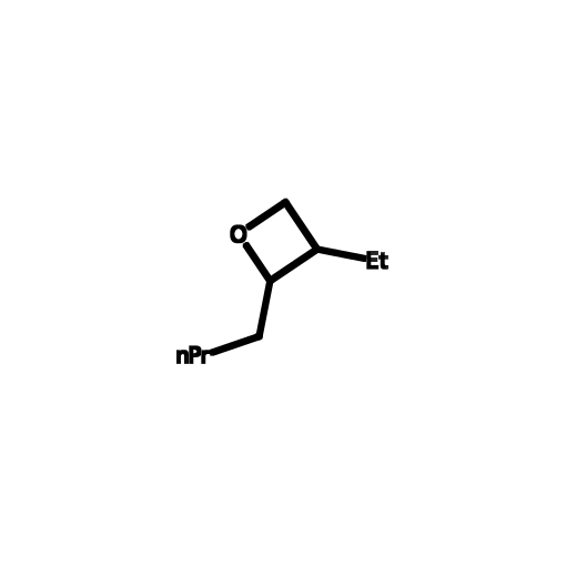 [CH2]CCCC1OCC1CC